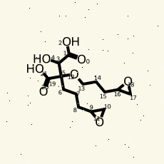 O=C(O)C(O)C(CCCC1CO1)(OCCCC1CO1)C(=O)O